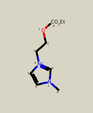 CCOC(=O)OCC[n+]1ccn(C)c1